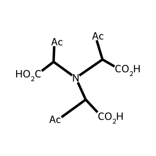 CC(=O)C(C(=O)O)N(C(C(C)=O)C(=O)O)C(C(C)=O)C(=O)O